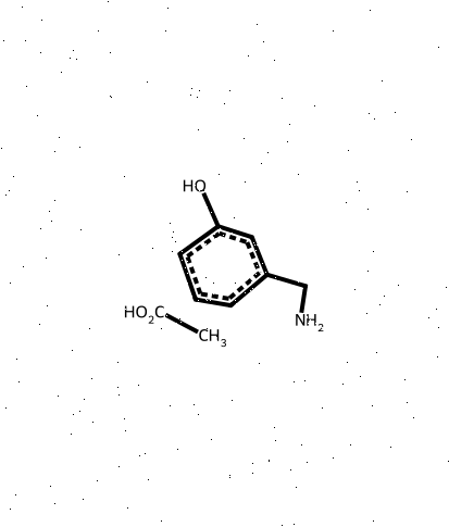 CC(=O)O.NCc1cccc(O)c1